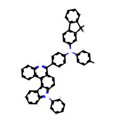 Cc1ccc(N(c2ccc(-c3nc4ccccc4c4c3ccc3c4c4ccccc4n3-c3ccccc3)cc2)c2ccc3c(c2)C(C)(C)c2ccccc2-3)cc1